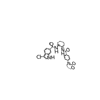 O=C(N[C@H]1CCCC[C@H]1NC(=O)c1ccc2c(Cl)c[nH]c2c1)c1ccc(N2CCCOC2=O)cc1